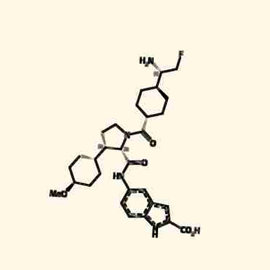 CO[C@H]1CC[C@H]([C@@H]2CCN(C(=O)[C@H]3CC[C@H]([C@H](N)CF)CC3)[C@@H]2C(=O)Nc2ccc3[nH]c(C(=O)O)cc3c2)CC1